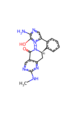 CNc1ncc2c(n1)C[C@H](c1ccccc1-c1cnc(N)c(O)n1)NC2=O